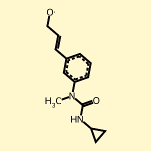 CN(C(=O)NC1CC1)c1cccc(C=CC[O])c1